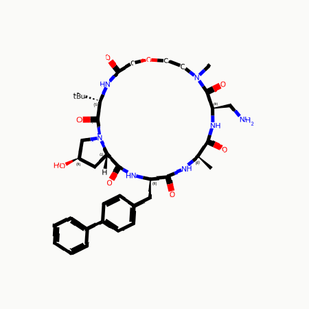 C[C@H]1NC(=O)[C@@H](Cc2ccc(-c3ccccc3)cc2)NC(=O)[C@@H]2C[C@@H](O)CN2C(=O)[C@H](C(C)(C)C)NC(=O)COCCN(C)C(=O)[C@@H](CN)NC1=O